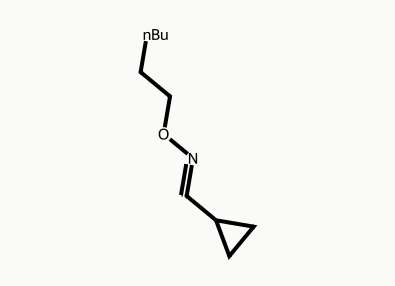 CCCCCCO/N=[C]/C1CC1